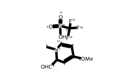 COC1=CC(C=O)N(C)C=C1.O=S(=O)(O)C(F)(F)F